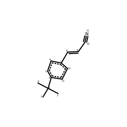 CC(C)(C)c1ccc(C=CC#N)cc1